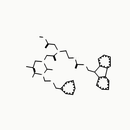 COC(=O)CN(CCNC(=O)OCC1c2ccccc2-c2ccccc21)C(=O)CN1CC(C)=C(O)N(COCc2ccccc2)C1O